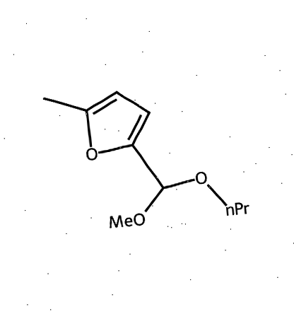 CCCOC(OC)c1ccc(C)o1